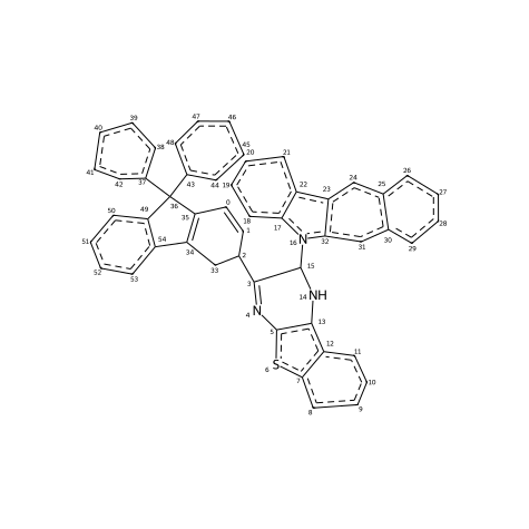 C1=CC(C2=Nc3sc4ccccc4c3NC2n2c3ccccc3c3cc4ccccc4cc32)CC2=C1C(c1ccccc1)(c1ccccc1)c1ccccc12